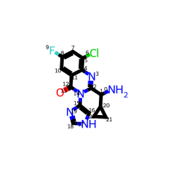 NC(c1nc2c(Cl)cc(F)cc2c(=O)n1-c1c[nH]cn1)C1CC1